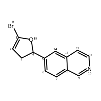 BrC1=CCC(c2ccc3cnccc3c2)O1